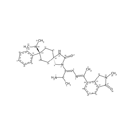 C/C(=N\C=C(/C(C)N)N1C[C@]2(CC[C@](c3ccccc3)(N(C)C)CC2)NC1=O)c1cccc2c1CN(C)C2=O